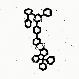 c1ccc(-c2cc(-c3ccccc3-c3ccccc3)nc(-c3ccc(-c4ccc5c(c4)Oc4ccc6c(c4O5)-c4ccccc4C6(c4ccccc4)c4ccccc4)cc3)n2)cc1